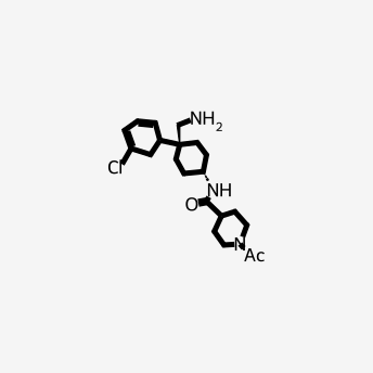 CC(=O)N1CCC(C(=O)N[C@H]2CC[C@@](CN)(C3C=CC=C(Cl)C3)CC2)CC1